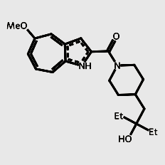 CCC(O)(CC)CC1CCN(C(=O)c2cc3c([nH]2)=CC=C=C(OC)C=3)CC1